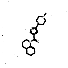 CN1CCC(c2cc(C(=O)N3CCCC4CCCC=C43)cs2)CC1